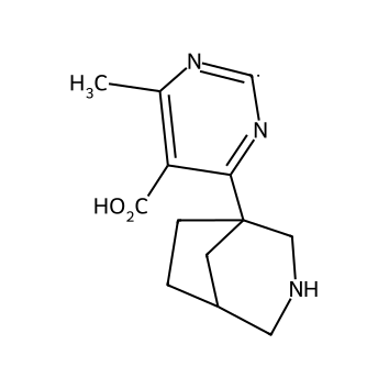 Cc1n[c]nc(C23CCC(CNC2)C3)c1C(=O)O